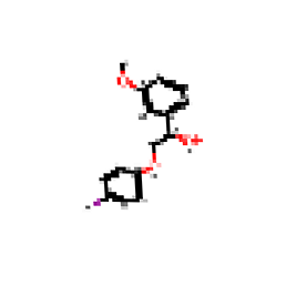 COc1cccc(C(O)COc2ccc(I)cc2)c1